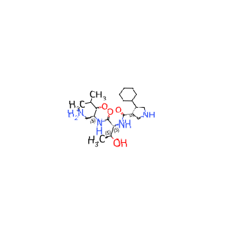 CC(C)C(=O)[C@H](CN)NC(=O)[C@@H](NC(=O)[C@@H]1CNCC1C1CCCCC1)[C@H](C)O